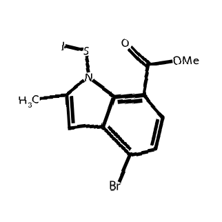 COC(=O)c1ccc(Br)c2cc(C)n(SI)c12